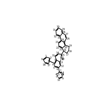 c1ccc(-c2cc(-c3nccs3)cc3nc(C4CCCc5c4ccc4c5ccc5ccccc54)ccc23)cc1